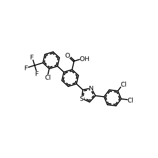 O=C(O)c1cc(-c2nc(-c3ccc(Cl)c(Cl)c3)cs2)ccc1-c1cccc(C(F)(F)F)c1Cl